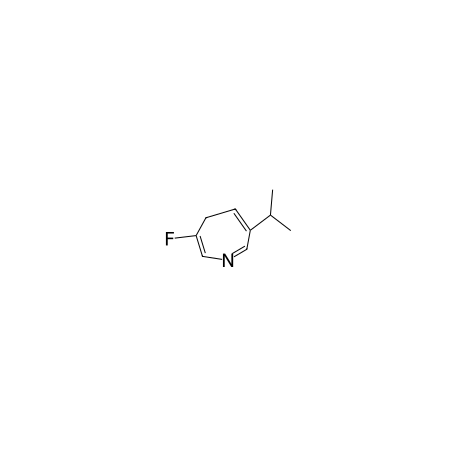 CC(C)C1=CCC(F)=CN=C1